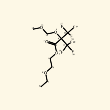 CCOCCOC(=O)C(OCOC)(C(F)(F)F)C(F)(F)F